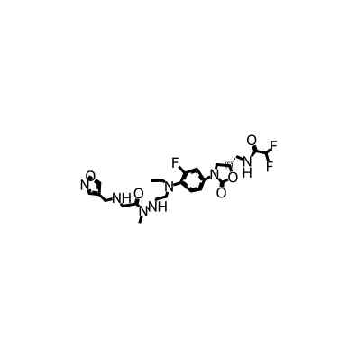 CCN(CCNN(C)C(=O)CNCc1cnoc1)c1ccc(N2C[C@H](CNC(=O)C(F)F)OC2=O)cc1F